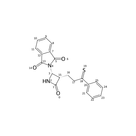 O=C1N[C@H](N2C(=O)c3ccccc3C2=O)[C@@H]1CCC(=S)c1ccccc1